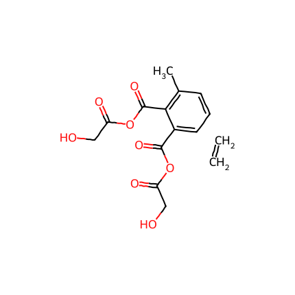 C=C.Cc1cccc(C(=O)OC(=O)CO)c1C(=O)OC(=O)CO